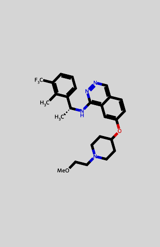 COCCN1CCC(Oc2ccc3cnnc(N[C@H](C)c4cccc(C(F)(F)F)c4C)c3c2)CC1